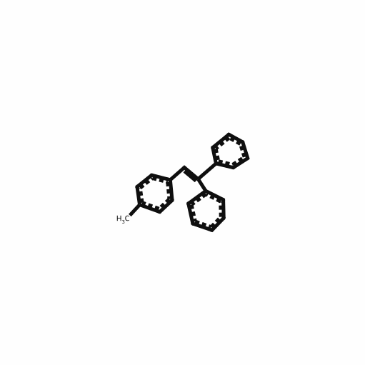 Cc1ccc(C=C(c2ccccc2)c2ccccc2)cc1